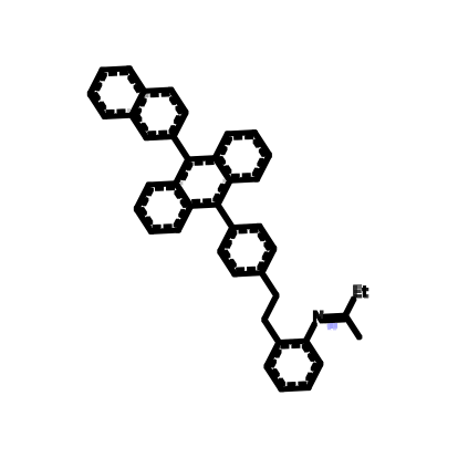 CC/C(C)=N/c1ccccc1CCc1ccc(-c2c3ccccc3c(-c3ccc4ccccc4c3)c3ccccc23)cc1